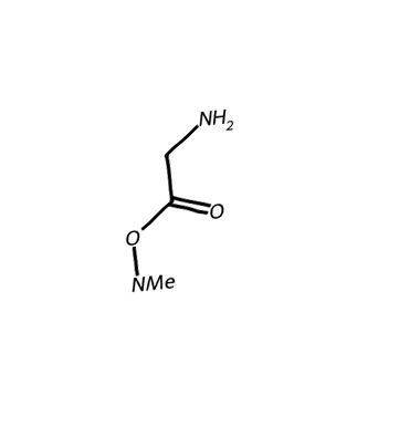 CNOC(=O)CN